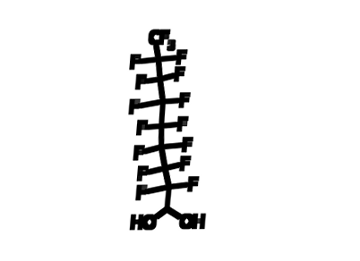 OC(O)C(F)(F)C(F)(F)C(F)(F)C(F)(F)C(F)(F)C(F)(F)C(F)(F)C(F)(F)F